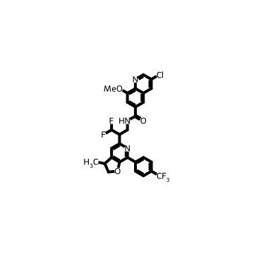 COc1cc(C(=O)NCC(c2cc3c(c(-c4ccc(C(F)(F)F)cc4)n2)OCC3C)C(F)F)cc2cc(Cl)cnc12